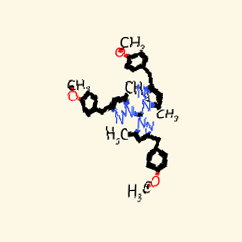 COc1ccc(Cc2cc(C)n(C(n3nc(Cc4ccc(OC)cc4)cc3C)n3nc(Cc4ccc(OC)cc4)cc3C)n2)cc1